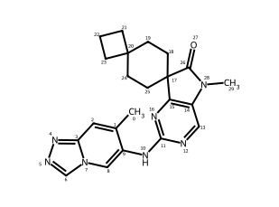 Cc1cc2nncn2cc1Nc1ncc2c(n1)C1(CCC3(CCC3)CC1)C(=O)N2C